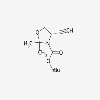 C#C[C@H]1COC(C)(C)N1C(=O)OCCCC